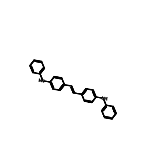 C(=C\c1ccc(Nc2ccccc2)cc1)/c1ccc(Nc2ccccc2)cc1